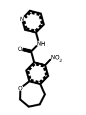 O=C(Nc1cccnc1)c1cc2c(cc1[N+](=O)[O-])CCCCO2